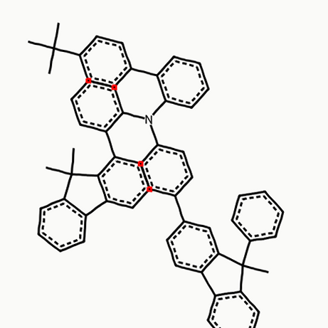 CC(C)(C)c1ccc(-c2ccccc2N(c2ccc(-c3ccc4c(c3)C(C)(c3ccccc3)c3ccccc3-4)cc2)c2ccccc2-c2cccc3c2C(C)(C)c2ccccc2-3)cc1